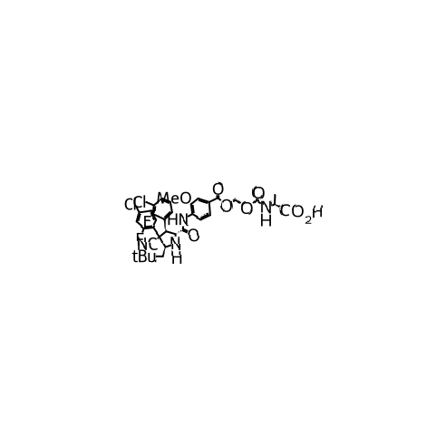 COc1cc(C(=O)OCOC(=O)N[C@@H](C)C(=O)O)ccc1NC(=O)[C@@H]1N[C@@H](CC(C)(C)C)[C@](C#N)(c2ccc(Cl)cc2F)[C@H]1c1cccc(Cl)c1F